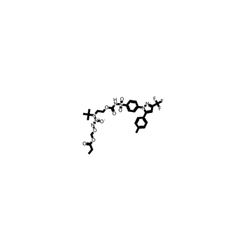 CCC(=O)OCON=[N+]([O-])N(CCOC(=O)NS(=O)(=O)c1ccc(-n2nc(C(F)(F)F)cc2-c2ccc(C)cc2)cc1)C(C)(C)C